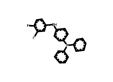 Fc1ccc(Bc2ccc(P(c3ccccc3)c3ccccc3)cc2)cc1F